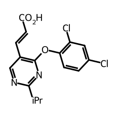 CC(C)c1ncc(C=CC(=O)O)c(Oc2ccc(Cl)cc2Cl)n1